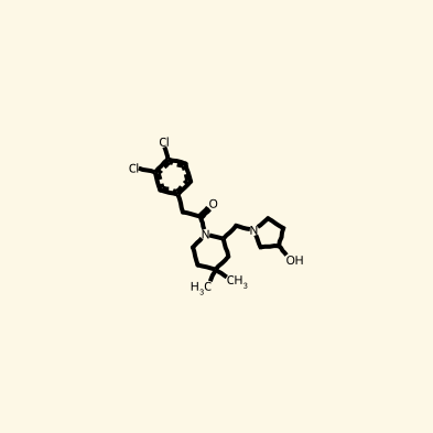 CC1(C)CCN(C(=O)Cc2ccc(Cl)c(Cl)c2)C(CN2CCC(O)C2)C1